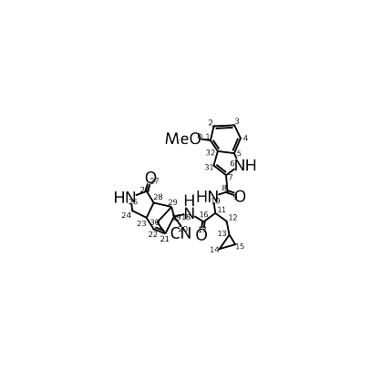 COc1cccc2[nH]c(C(=O)NC(CC3CC3)C(=O)NC3(C#N)C4=CC5CNC(=O)C5C3C4)cc12